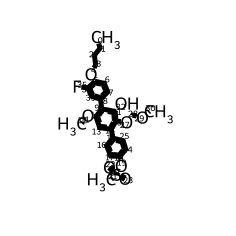 CCCCOc1ccc(-c2c(OC)cc(-c3ccc(OS(C)(=O)=O)cc3)c(OCOC)c2O)cc1F